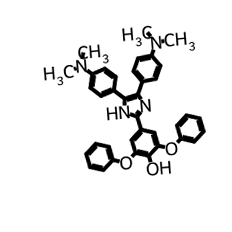 CN(C)c1ccc(-c2nc(-c3cc(Oc4ccccc4)c(O)c(Oc4ccccc4)c3)[nH]c2-c2ccc(N(C)C)cc2)cc1